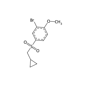 COc1ccc(S(=O)(=O)CC2CC2)cc1Br